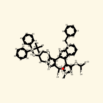 Cn1cc(-c2c3cccn(Cc4ccccc4)c-3nc2-c2c(C(F)F)nn3c2OCC(O[Si](c2ccccc2)(c2ccccc2)C(C)(C)C)C3)c(OC(F)F)n1